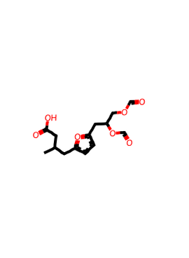 CC(CC(=O)O)Cc1ccc(CC(COC=O)OC=O)o1